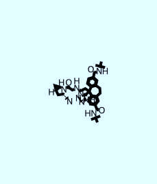 CC(C)(C)NC(=O)c1ccc2c(c1)CCc1cc(C(=O)NC(C)(C)C)ccc1C2(CCNCC(=O)N1[C@H](C#N)C[C@@H]2C[C@@H]21)c1nnn[nH]1